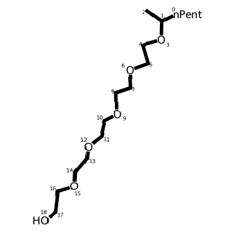 CCCCCC(C)OCCOCCOCCOCCOCCO